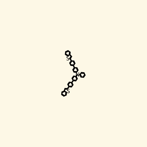 c1ccc(N(c2ccc(-c3ccc(-c4cc5ccccc5s4)cc3)cc2)c2ccc(-c3ccc(-c4cc5ccccc5s4)cc3)cc2)cc1